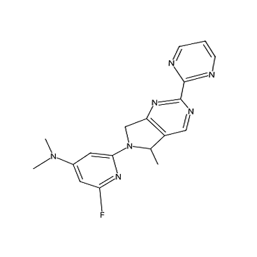 CC1c2cnc(-c3ncccn3)nc2CN1c1cc(N(C)C)cc(F)n1